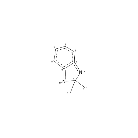 [CH2]C1(C)N=c2ccccc2=N1